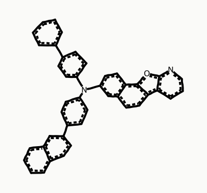 c1ccc(-c2ccc(N(c3ccc(-c4ccc5ccccc5c4)cc3)c3ccc4c(ccc5c6cccnc6oc45)c3)cc2)cc1